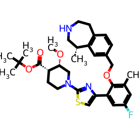 CO[C@@H]1CN(c2nc(-c3cc(F)cc(C)c3OCc3ccc4c(c3)[C@H](C)CNCC4)cs2)CC[C@@H]1C(=O)OC(C)(C)C